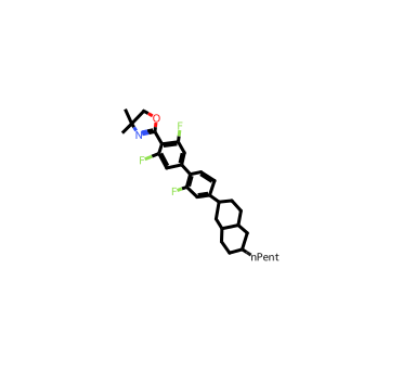 CCCCCC1CCC2CC(c3ccc(-c4cc(F)c(C5=NC(C)(C)CO5)c(F)c4)c(F)c3)CCC2C1